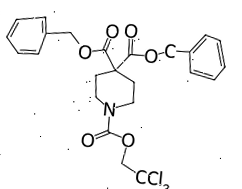 O=C(OCC(Cl)(Cl)Cl)N1CCC(C(=O)OCc2ccccc2)(C(=O)OCc2ccccc2)CC1